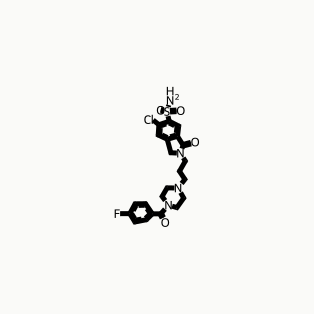 NS(=O)(=O)c1cc2c(cc1Cl)CN(CCCN1CCN(C(=O)c3ccc(F)cc3)CC1)C2=O